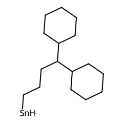 [SnH][CH2]CCC(C1CCCCC1)C1CCCCC1